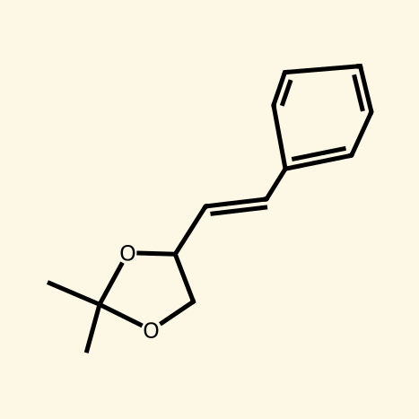 CC1(C)OCC(C=Cc2ccccc2)O1